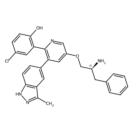 Cc1n[nH]c2ccc(-c3cc(OC[C@@H](N)Cc4ccccc4)cnc3-c3cc(Cl)ccc3O)cc12